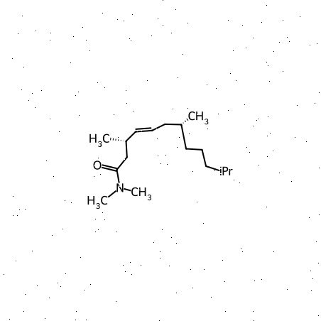 CC(C)CCC[C@@H](C)C/C=C/[C@@H](C)CC(=O)N(C)C